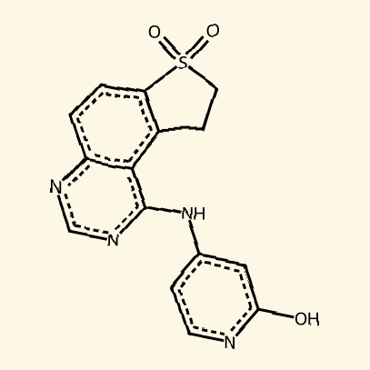 O=S1(=O)CCc2c1ccc1ncnc(Nc3ccnc(O)c3)c21